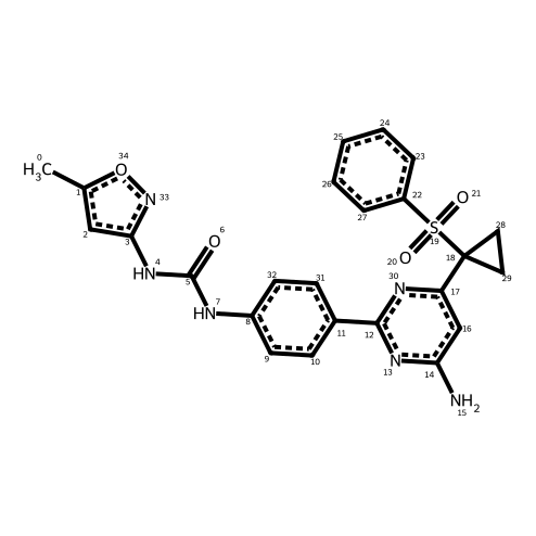 Cc1cc(NC(=O)Nc2ccc(-c3nc(N)cc(C4(S(=O)(=O)c5ccccc5)CC4)n3)cc2)no1